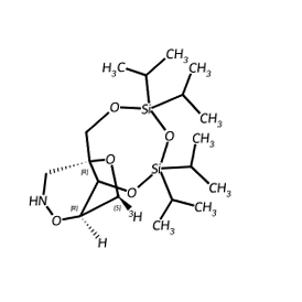 [3H][C@@H]1O[C@@]23CNO[C@H]1C2O[Si](C(C)C)(C(C)C)O[Si](C(C)C)(C(C)C)OC3